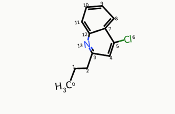 CCCc1cc(Cl)c2ccccc2n1